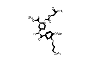 COCCCOc1cc(C(=O)N(C(C)C)C2CC[C@@H](CC(=O)NCC(N)=O)N(C(=O)OC(C)(C)C)C2)ccc1OC